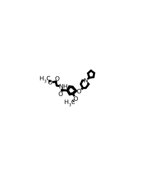 COC(=O)CNC(=O)c1ccc(OC2CCN(C3CCCC3)CC2)c(OC)c1